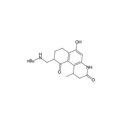 CCCCNCC1CCc2c(O)cc3c(c2C1=O)C(C)CC(=O)N3